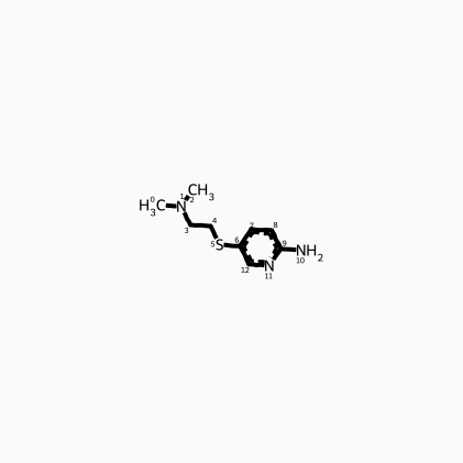 CN(C)CCSc1ccc(N)nc1